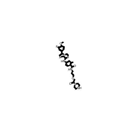 COc1ccc(-c2cnc3c(Nc4ccc(C(=O)NCCCOCC(=O)N5CCNCC5)c(C)c4)nccn23)cc1F